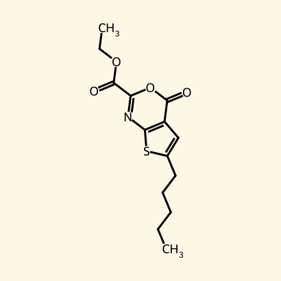 CCCCCc1cc2c(=O)oc(C(=O)OCC)nc2s1